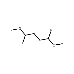 COC(F)CCC(F)OC